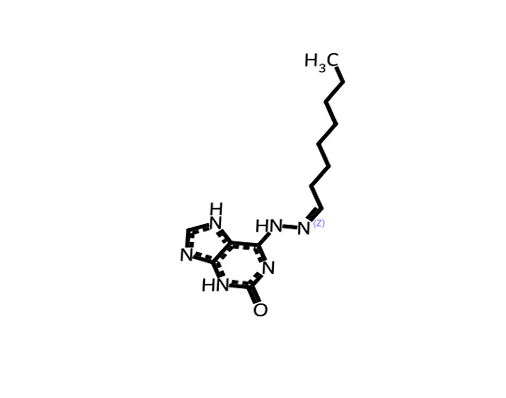 CCCCCCC/C=N\Nc1nc(=O)[nH]c2nc[nH]c12